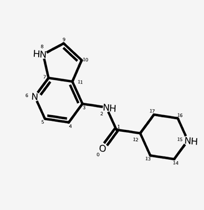 O=C(Nc1ccnc2[nH]ccc12)C1CCNCC1